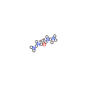 c1ccc(-c2cccc3c4ccccc4n(-c4ccc5c(c4)c4ccccc4n5-c4ccc5c(c4)C4(c6cc(-n7c8ccccc8c8cc(-n9c%10ccccc%10c%10ccccc%109)ccc87)ccc6O5)c5ccccc5-c5ccccc54)c23)cc1